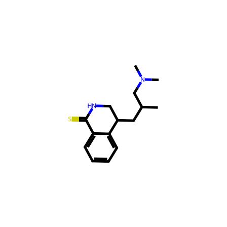 CC(CC1CNC(=S)c2ccccc21)CN(C)C